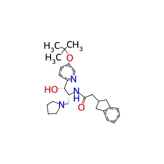 CC(C)(C)Oc1ccc([C@@H](O)[C@@H](CN2CCCC2)NC(=O)CC2Cc3ccccc3C2)nc1